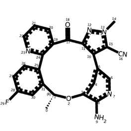 C[C@H]1Oc2cc(cnc2N)-c2c(nn(C)c2C#N)C(=O)c2cccnc2-c2ccc(F)cc21